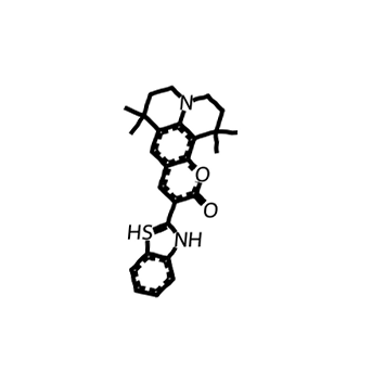 CC1(C)CCN2CCC(C)(C)c3c2c1cc1cc(C2=[SH]c4ccccc4N2)c(=O)oc31